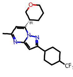 Cc1cc([C@H]2CCCOC2)n2nc(C3CCC(C(F)(F)F)CC3)cc2n1